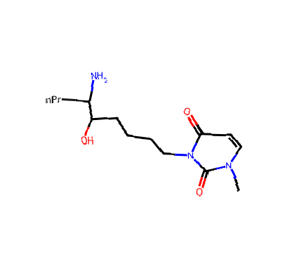 CCCC(N)C(O)CCCCn1c(=O)ccn(C)c1=O